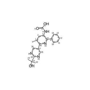 Cc1cc(NC(=O)O)c(-c2ccccc2)nc1-c1cnc(C(C)(C)O)nc1